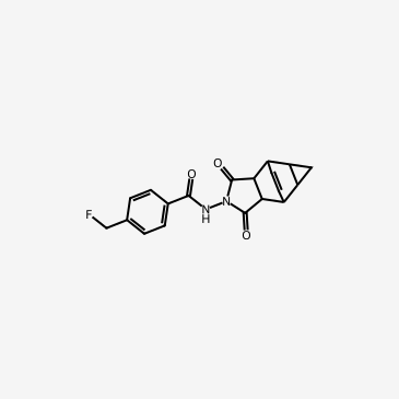 O=C(NN1C(=O)C2C3C=CC(C4CC34)C2C1=O)c1ccc(CF)cc1